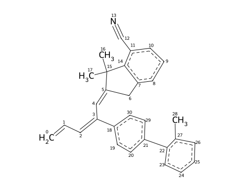 C=C/C=C(\C=C1/Cc2cccc(C#N)c2C1(C)C)c1ccc(-c2ccccc2C)cc1